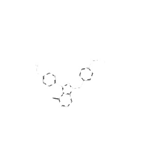 COc1ccc(Cn2nc(-c3ccc(SN)cc3)c3c(=O)[nH]ccc32)cc1